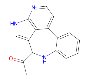 CC(=O)C1Nc2ccccc2-c2ccnc3[nH]cc1c23